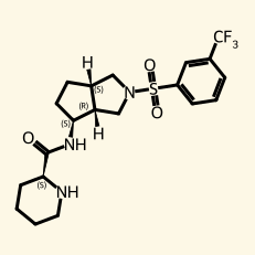 O=C(N[C@H]1CC[C@@H]2CN(S(=O)(=O)c3cccc(C(F)(F)F)c3)C[C@@H]21)[C@@H]1CCCCN1